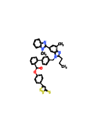 CCCc1nc2c(C)cc(-c3nc4ccccc4n3C)cc2n1Cc1ccc(-c2ccccc2C(=O)Oc2ccc(-c3cc(=S)ss3)cc2)cc1